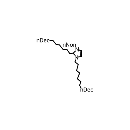 CCCCCCCCCCCCCCCCCN1C=CN(CCCCCCCCC)C1CCCCCCCCCCCCCCCC